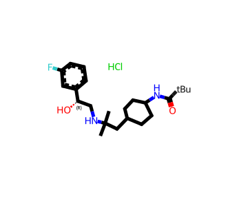 CC(C)(CC1CCC(NC(=O)C(C)(C)C)CC1)NC[C@H](O)c1cccc(F)c1.Cl